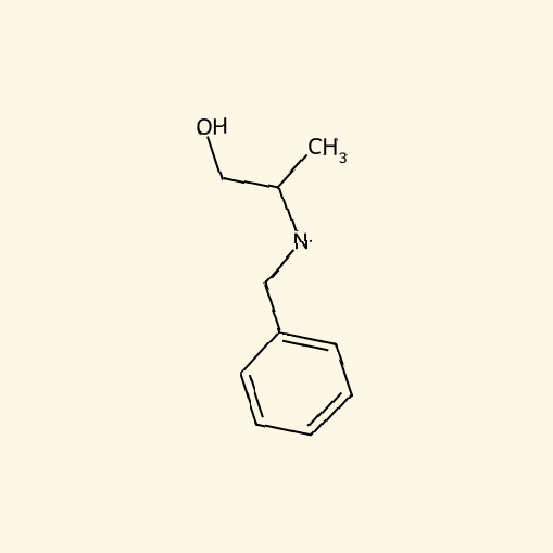 CC(CO)[N]Cc1ccccc1